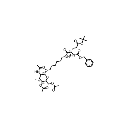 CC(=O)NC1[C@H](OCCCCCCNC(=O)[C@H](CCC(=O)OC(C)(C)C)NC(=O)OCc2ccccc2)OC(COC(C)=O)[C@H](OC(C)=O)[C@@H]1C